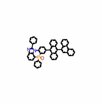 O=P1(c2ccccc2)c2cc(-c3c4ccccc4c(-c4cc5ccccc5c5ccccc45)c4ccccc34)ccc2-n2c(-c3ccccc3)nc3cccc1c32